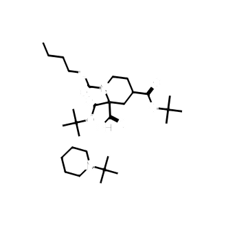 CC(C)(C)N1CCCCC1.CCCCOC(=O)N1CCC(C(=O)OC(C)(C)C)CC1(C(=O)O)C(=O)OC(C)(C)C